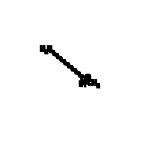 C=C(C(=O)OCCCCCCCCCCCCCCCCCCN)C(C)C